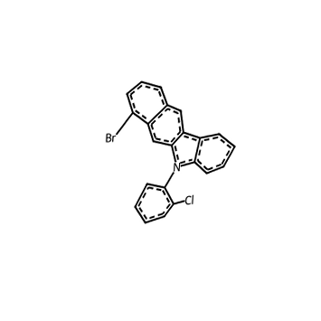 Clc1ccccc1-n1c2ccccc2c2cc3cccc(Br)c3cc21